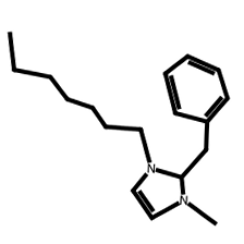 CCCCCCCN1C=CN(C)C1Cc1ccccc1